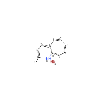 Br.CC1=CC=C2C=CC=CC=C2N1